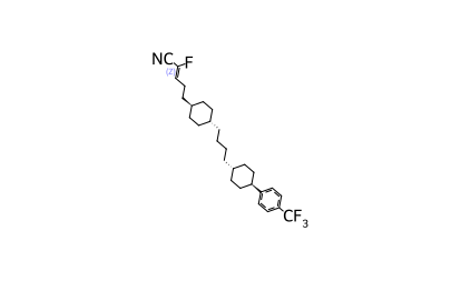 N#C/C(F)=C/CC[C@H]1CC[C@H](CCCC[C@H]2CC[C@H](c3ccc(C(F)(F)F)cc3)CC2)CC1